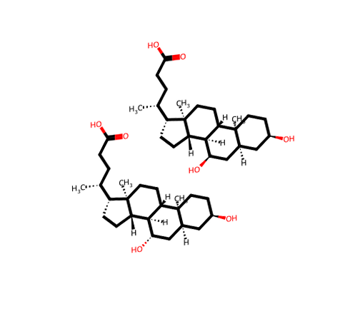 C[C@H](CCC(=O)O)[C@H]1CC[C@H]2[C@@H]3[C@@H](O)C[C@@H]4C[C@H](O)CC[C@]4(C)[C@H]3CC[C@]12C.C[C@H](CCC(=O)O)[C@H]1CC[C@H]2[C@@H]3[C@H](O)C[C@@H]4C[C@H](O)CC[C@]4(C)[C@H]3CC[C@]12C